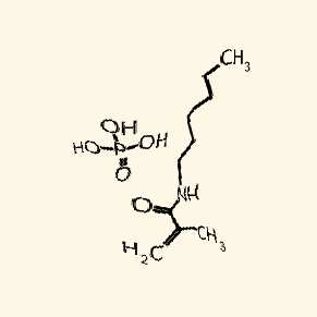 C=C(C)C(=O)NCCCCCC.O=P(O)(O)O